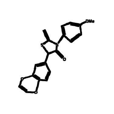 C=C1SC(c2ccc3c(c2)OC=CO3)C(=O)N1c1ccc(OC)cc1